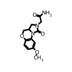 COc1ccc2c(c1)N1C(=O)N(CC(N)=O)CC1CO2